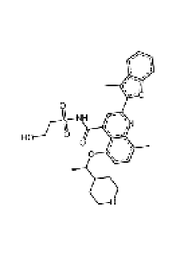 Cc1c(-c2cc(C(=O)NS(=O)(=O)CCO)c3c(O[C@H](C)C4CCOCC4)ccc(C)c3n2)oc2ccccc12